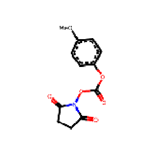 COc1ccc(OC(=O)ON2C(=O)CCC2=O)cc1